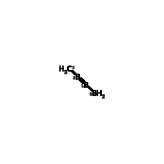 BB=BC